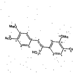 COc1cc(/C=C(\C(=O)O)c2ccc(OC(C)=O)c(OC)c2)ccc1OC(C)=O